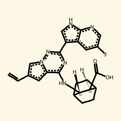 C=Cc1cc2c(N[C@H]3C4CCC(CC4)[C@@H]3C(=O)O)nc(-c3c[nH]c4ncc(F)cc34)nn2c1